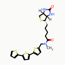 CN(Cc1ccc(-c2ccc(-c3cccs3)s2)s1)C(=O)CCCC[C@@H]1SC[C@@H]2NC(=O)N[C@@H]21